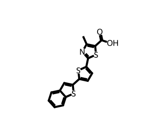 Cc1nc(-c2ccc(-c3cc4ccccc4s3)s2)sc1C(=O)O